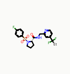 CCC(F)(F)c1ccnc(CNC(=O)[C@@H]2CCCN2S(=O)(=O)c2ccc(F)cc2)c1